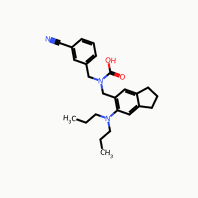 CCCN(CCC)c1cc2c(cc1CN(Cc1cccc(C#N)c1)C(=O)O)CCC2